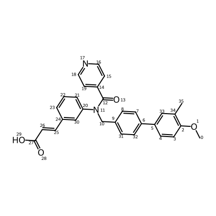 COc1ccc(-c2ccc(CN(C(=O)c3ccncc3)c3cccc(C=CC(=O)O)c3)cc2)cc1C